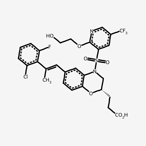 C/C(=C\c1ccc2c(c1)N(S(=O)(=O)c1cc(C(F)(F)F)cnc1OCCO)C[C@H](CCC(=O)O)O2)c1c(F)cccc1Cl